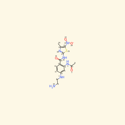 CC(=O)Nc1cc(NCCN)ccc1C(=O)Nc1nc(C)c([N+](=O)[O-])s1